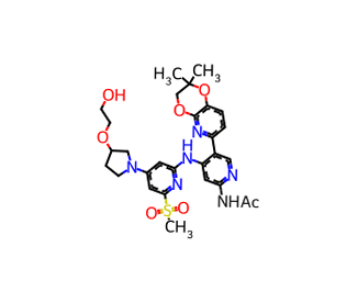 CC(=O)Nc1cc(Nc2cc(N3CCC(OCCO)C3)cc(S(C)(=O)=O)n2)c(-c2ccc3c(n2)OCC(C)(C)O3)cn1